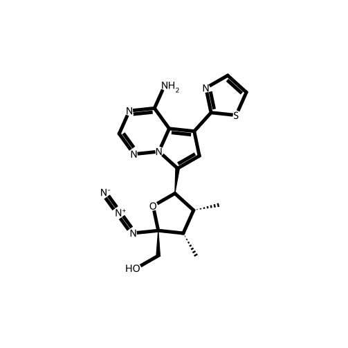 C[C@H]1[C@H](c2cc(-c3nccs3)c3c(N)ncnn23)O[C@@](CO)(N=[N+]=[N-])[C@H]1C